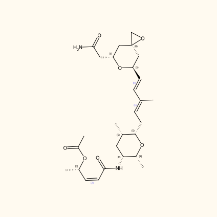 CC(=O)O[C@@H](C)/C=C\C(=O)N[C@@H]1C[C@H](C)[C@H](C/C=C(C)/C=C/[C@@H]2C[C@@]3(CO3)C[C@@H](CC(N)=O)O2)O[C@@H]1C